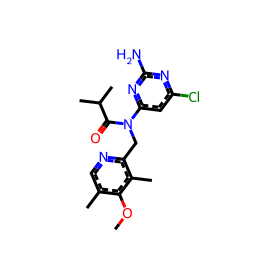 COc1c(C)cnc(CN(C(=O)C(C)C)c2cc(Cl)nc(N)n2)c1C